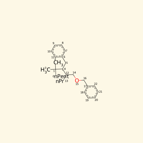 CCCCCC(C)(C)[C](Cc1ccccc1)C(CCC)COCc1ccccc1